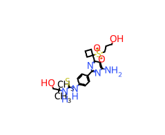 CC(C)(CO)NC(=S)Nc1ccc(-c2nc(N)cc(C3(S(=O)(=O)CCCO)CCC3)n2)cc1